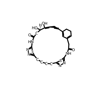 O=C1CC2=CCCC(=C2)C2=C/C(=C(/O)[C@H](O)CC(=O)Nc3nnc(s3)CCCCc3nnc(s3)N1)C2